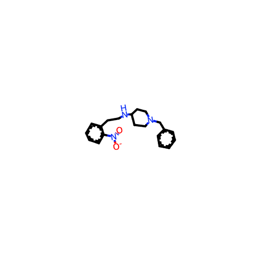 O=[N+]([O-])c1ccccc1CCNC1CCN(Cc2ccccc2)CC1